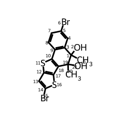 CC1(O)c2cc(Br)ccc2-c2sc3cc(Br)sc3c2C1(C)O